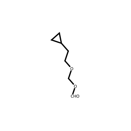 O=COCOCCC1CC1